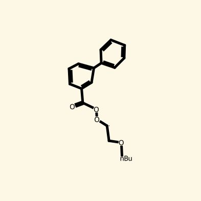 CCCCOC[CH]OOC(=O)c1cccc(-c2ccccc2)c1